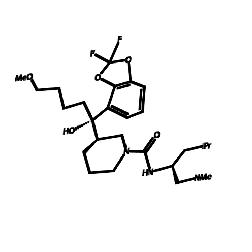 CNC[C@H](CC(C)C)NC(=O)N1CCC[C@@H]([C@@](O)(CCCCOC)c2cccc3c2OC(F)(F)O3)C1